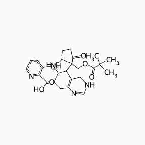 CC1CCC(=O)C1(COC(=O)C(C)(C)C)C1C2=C(CCC1Nc1cccnc1C(=O)O)N=CNC2